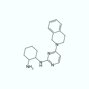 NC1CCCCC1Nc1nccc(N2CCc3ccccc3C2)n1